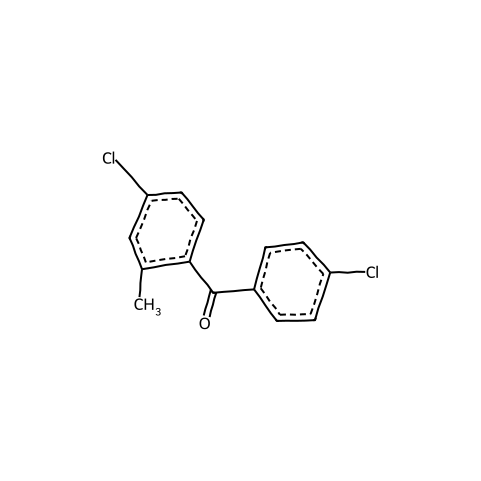 Cc1cc(Cl)ccc1C(=O)c1ccc(Cl)cc1